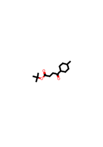 CC1CCC(C(=O)CCC(=O)OC(C)(C)C)CC1